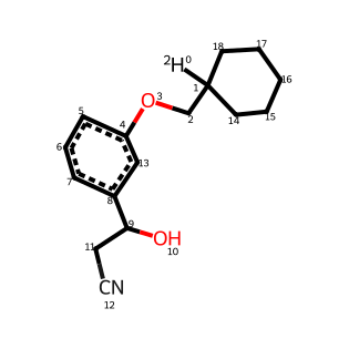 [2H]C1(COc2cccc(C(O)CC#N)c2)CCCCC1